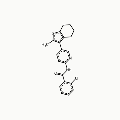 Cc1sc2c(c1-c1ccc(NC(=O)c3ccccc3Cl)nc1)CCCC2